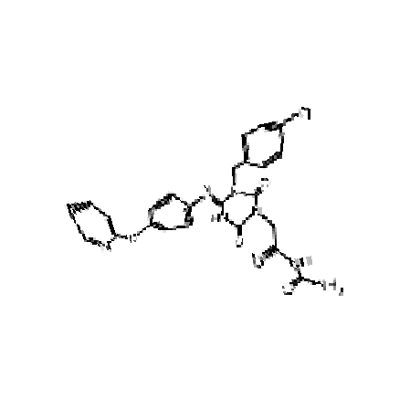 NC(=O)NC(=O)Cn1c(=O)[nH]/c(=N\c2ccc(Oc3ccccn3)cc2)n(Cc2ccc(Cl)cc2)c1=O